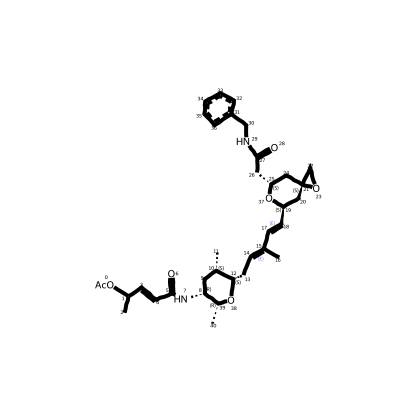 CC(=O)OC(C)C=CC(=O)N[C@@H]1C[C@H](C)[C@H](C/C=C(C)/C=C/[C@@H]2C[C@]3(CO3)C[C@@H](CC(=O)NCc3ccccc3)O2)O[C@@H]1C